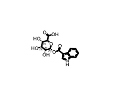 O=C(O[C@@H]1OC(C(=O)O)[C@@H](O)[C@H](O)[C@H]1O)c1c[nH]c2ccccc12